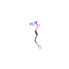 NOC=CCCl